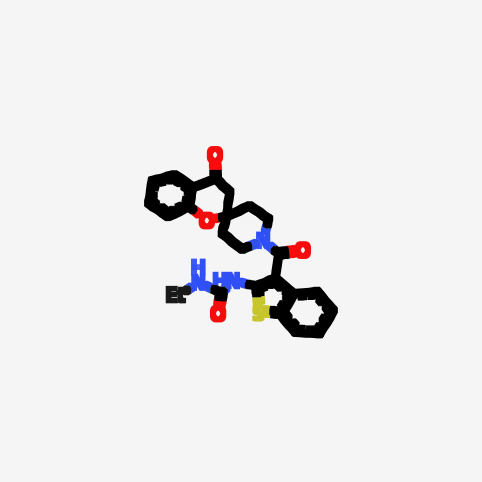 CCNC(=O)Nc1sc2ccccc2c1C(=O)N1CCC2(CC1)CC(=O)c1ccccc1O2